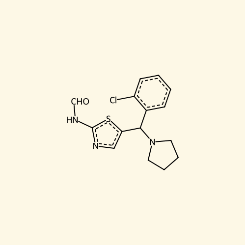 O=CNc1ncc(C(c2ccccc2Cl)N2CCCC2)s1